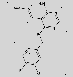 CON=Cc1c(N)ncnc1NCc1ccc(F)c(Cl)c1